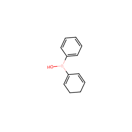 OB(C1=CCCC=C1)c1ccccc1